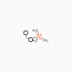 CCOP(=O)(OCC)C(C)Cc1cccc(Cc2ccccc2)c1